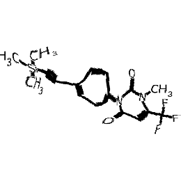 Cn1c(C(F)(F)F)cc(=O)n(-c2ccc(C#C[Si](C)(C)C)cc2)c1=O